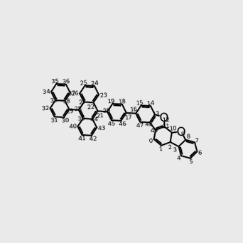 C1=CC2c3ccccc3OC2c2oc3ccc(-c4ccc(-c5c6ccccc6c(-c6cccc7ccccc67)c6ccccc56)cc4)cc3c21